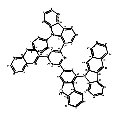 c1ccc(-n2c3ccccc3c3cccc(C4=NC(c5ccc6ccccc6c5)NC(c5cc(-n6c7ccccc7c7cc8ccccc8cc76)c6c(c5)oc5ccccc56)=N4)c32)cc1